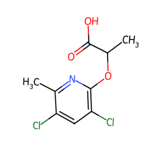 Cc1nc(OC(C)C(=O)O)c(Cl)cc1Cl